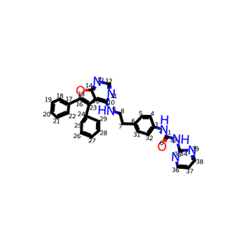 O=C(Nc1ccc(CCNc2ncnc3oc(-c4ccccc4)c(-c4ccccc4)c23)cc1)Nc1ncccn1